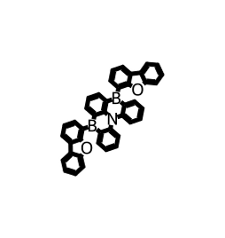 c1ccc2c(c1)B(c1cccc3c1oc1ccccc13)c1cccc3c1N2c1ccccc1B3c1cccc2c1oc1ccccc12